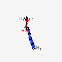 CCN(CC)c1ccc(/N=N/c2ccc(/N=N/c3ccc(/N=N/c4ccc(C(=O)OCCCCOC(=O)C(C)C)cc4O)c(F)c3)cc2)cc1